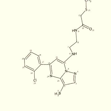 Bc1cnn2c(NCCNC(=O)CSC)cc(-c3ccccc3Cl)nc12